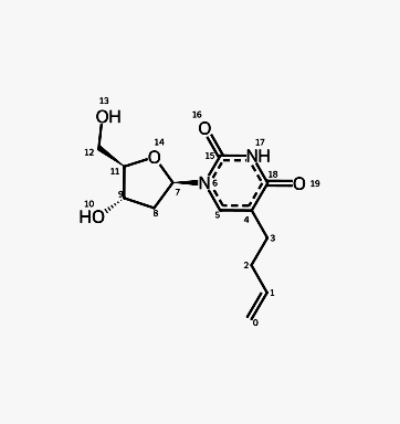 C=CCCc1cn([C@H]2C[C@H](O)[C@@H](CO)O2)c(=O)[nH]c1=O